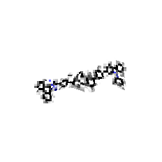 CC1(C)c2cc(-c3ccc(-c4ccc5c6ccccc6n(-c6ccccc6)c5c4)cc3)ccc2-c2ccc(-c3ccc(-c4cnc5c6ccccc6c6ccccc6c5n4)cc3)cc21